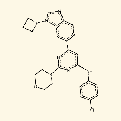 Clc1ccc(Nc2cc(-c3ccc4ncn(C5CCC5)c4c3)nc(N3CCOCC3)n2)cc1